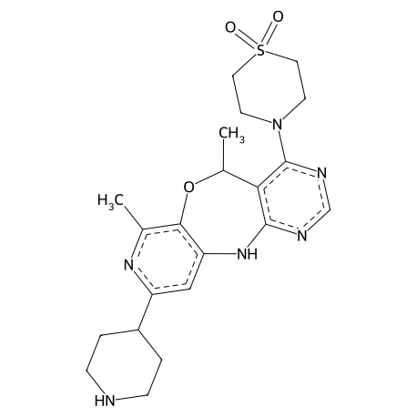 Cc1nc(C2CCNCC2)cc2c1OC(C)c1c(ncnc1N1CCS(=O)(=O)CC1)N2